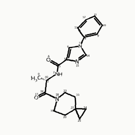 C[C@H](NC(=O)c1cn(-c2ccccc2)cn1)C(=O)N1CCC2(CC1)CC2